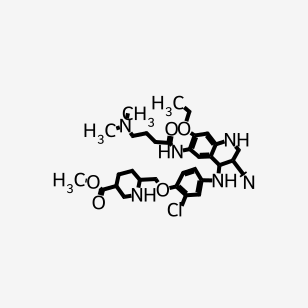 CCOc1cc2c(cc1NC(=O)CCCN(C)C)C(Nc1ccc(OCC3CCC(C(=O)OC)CN3)c(Cl)c1)C(C#N)CN2